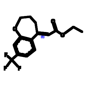 CCOC(=O)/C=C1\CCCOc2cc(C(F)(F)F)ccc21